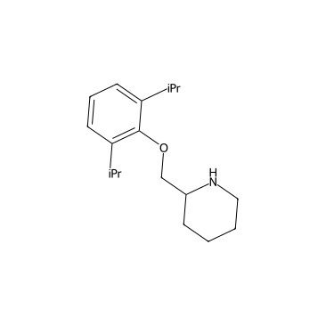 CC(C)c1cccc(C(C)C)c1OCC1CCCCN1